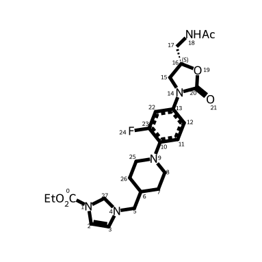 CCOC(=O)N1C=CN(CC2CCN(c3ccc(N4C[C@H](CNC(C)=O)OC4=O)cc3F)CC2)C1